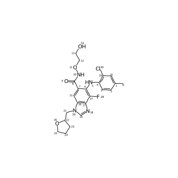 Cc1ccc(Nc2c(C(=O)NOCCO)cc3c(ncn3CC3CCCO3)c2F)c(Cl)c1